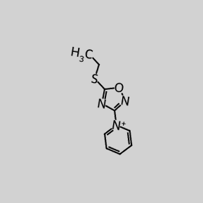 CCSc1nc(-[n+]2ccccc2)no1